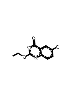 CCOc1nc2ccc(Cl)cc2c(=O)o1